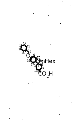 CCCCCCC(C(F)(F)F)C1(c2ccc(OCc3ccccc3)cc2)C=CC(C(=O)O)=CC1